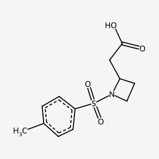 Cc1ccc(S(=O)(=O)N2CCC2CC(=O)O)cc1